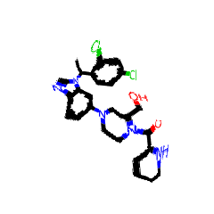 CC(c1ccc(Cl)cc1Cl)n1cnc2ccc(N3CCN(C(=O)C4CCCCN4)C(CO)C3)cc21